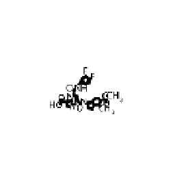 COC(=O)c1ccc2c(c1C)CCC2NC(=O)c1cc(C(=O)NCc2ccc(F)c(F)c2)nc2c(C(=O)O)cnn12